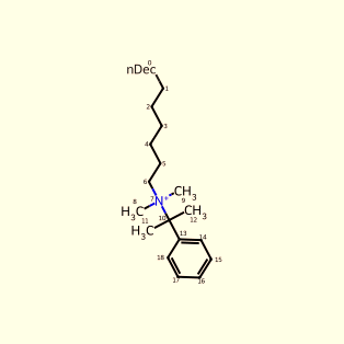 CCCCCCCCCCCCCCCC[N+](C)(C)C(C)(C)c1ccccc1